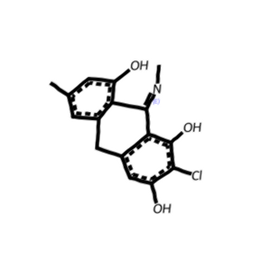 C/N=C1\c2c(O)cc(C)cc2Cc2cc(O)c(Cl)c(O)c21